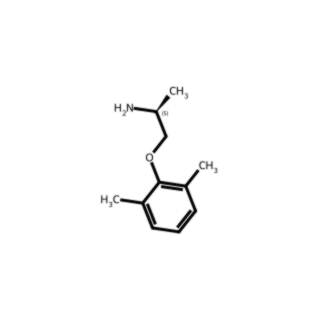 Cc1cccc(C)c1OC[C@H](C)N